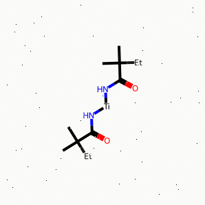 CCC(C)(C)C(=O)[NH][Ti][NH]C(=O)C(C)(C)CC